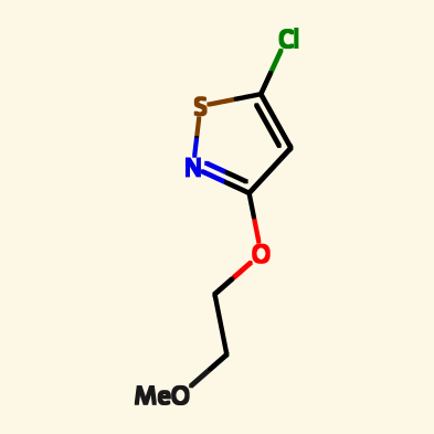 COCCOc1cc(Cl)sn1